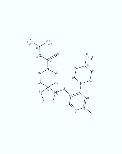 Cc1ccc(CN2CCCC23CCN(C(=O)OC(C(F)(F)F)C(F)(F)F)CC3)c(N2CCC(C(=O)O)CC2)c1